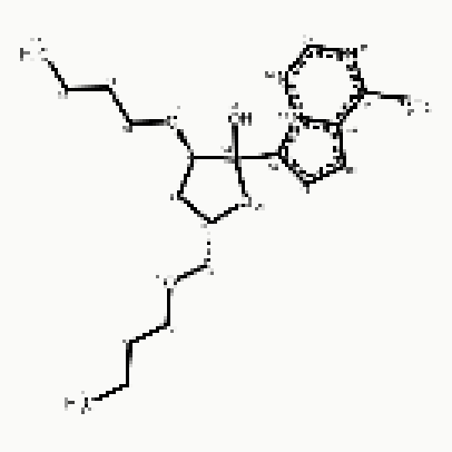 CCCCOC[C@@H]1C[C@@H](OCCCC)C(O)(c2ccc3c(N)ncnn23)O1